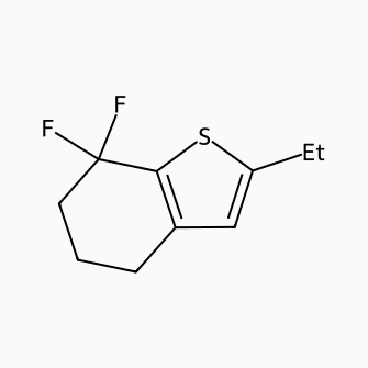 CCc1cc2c(s1)C(F)(F)CCC2